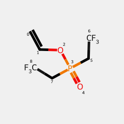 C=COP(=O)(CC(F)(F)F)CC(F)(F)F